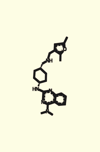 Cc1cc(CNC[C@H]2CC[C@@H](Nc3nc(N(C)C)c4ccccc4n3)CC2)c(C)o1